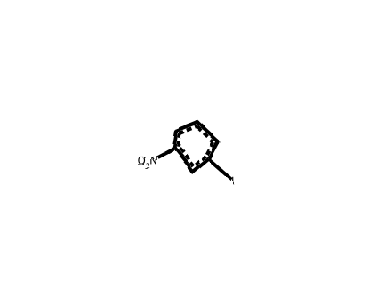 O=[N+]([O-])c1cc[c]c(I)c1